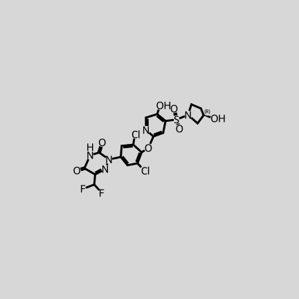 O=c1[nH]c(=O)n(-c2cc(Cl)c(Oc3cc(S(=O)(=O)N4CC[C@@H](O)C4)c(O)cn3)c(Cl)c2)nc1C(F)F